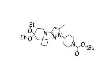 CCOC1(OCC)CCN(c2cc(C)n(C3CCN(C(=O)OC(C)(C)C)CC3)n2)C2(CCC2)C1